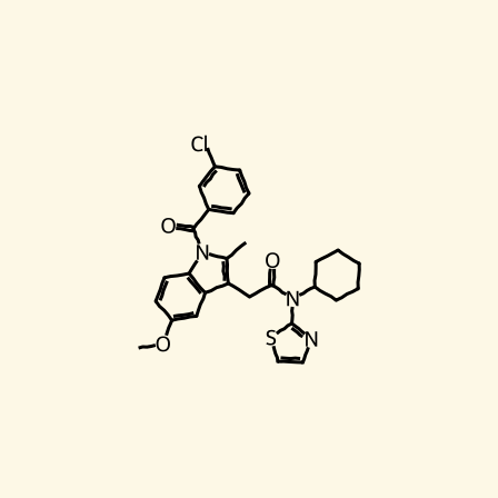 COc1ccc2c(c1)c(CC(=O)N(c1nccs1)C1CCCCC1)c(C)n2C(=O)c1cccc(Cl)c1